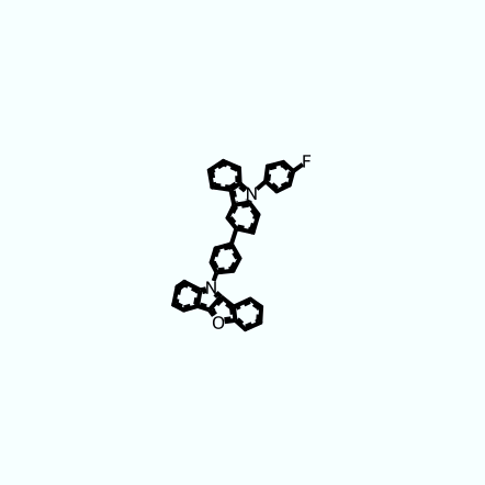 Fc1ccc(-n2c3ccccc3c3cc(-c4ccc(-n5c6ccccc6c6oc7ccccc7c65)cc4)ccc32)cc1